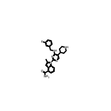 Cc1cc2c(C(N)=O)cccc2n1-c1ncc(C2CCNCC2)c(NCc2cccc(F)c2)n1